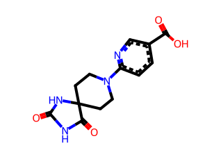 O=C1NC(=O)C2(CCN(c3ccc(C(=O)O)cn3)CC2)N1